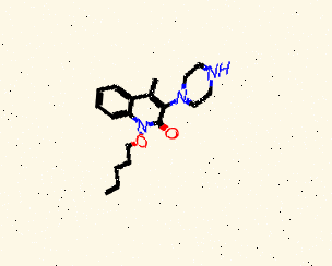 CCCCCOn1c(=O)c(N2CCNCC2)c(C)c2ccccc21